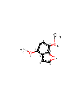 COc1ccc(OC)c2occc12